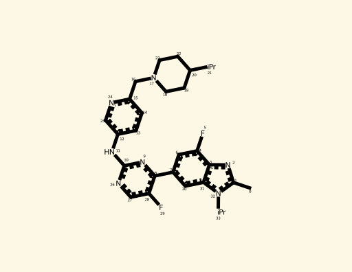 Cc1nc2c(F)cc(-c3nc(Nc4ccc(CN5CCC(C(C)C)CC5)nc4)ncc3F)cc2n1C(C)C